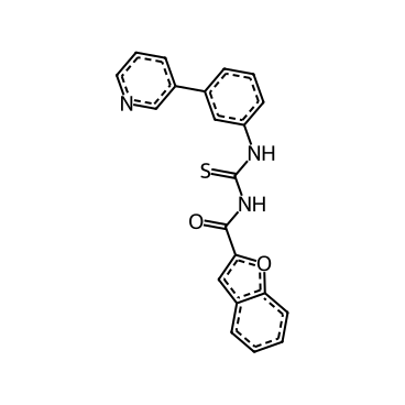 O=C(NC(=S)Nc1cccc(-c2cccnc2)c1)c1cc2ccccc2o1